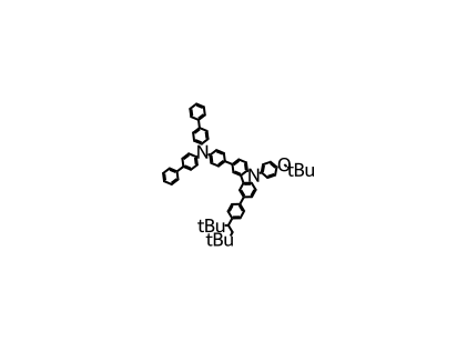 CC(C)(C)CC(c1ccc(-c2ccc3c(c2)c2cc(-c4ccc(N(c5ccc(-c6ccccc6)cc5)c5ccc(-c6ccccc6)cc5)cc4)ccc2n3-c2ccc(OC(C)(C)C)cc2)cc1)C(C)(C)C